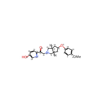 COc1ccc(OC2C[C@@H]3CN(CC(=O)c4ccc(O)cn4)C[C@@H]3C2)cc1